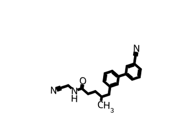 CC(CCC(=O)NCC#N)Cc1cccc(-c2cccc(C#N)c2)c1